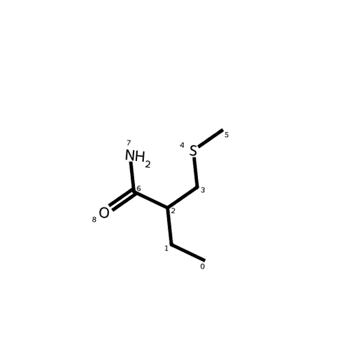 CCC(CSC)C(N)=O